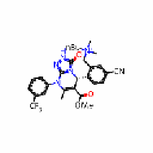 CCCC[N+](C)(C)Cc1cc(C#N)ccc1[C@@H]1C(C(=O)OC)=C(C)N(c2cccc(C(F)(F)F)c2)c2n[nH]c(=O)n21